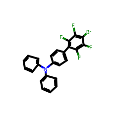 Fc1c(F)c(-c2ccc(N(c3ccccc3)c3ccccc3)cc2)c(F)c(F)c1Br